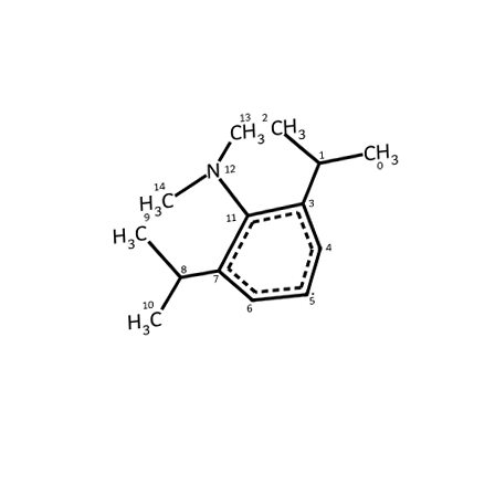 CC(C)c1c[c]cc(C(C)C)c1N(C)C